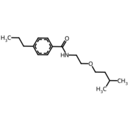 CCCc1ccc(C(=O)NCCOCCC(C)C)cc1